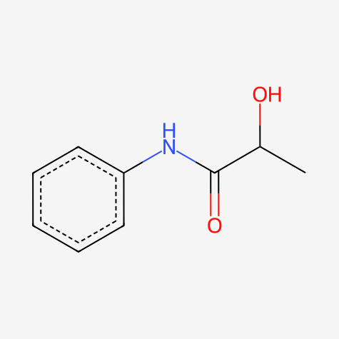 CC(O)C(=O)Nc1ccccc1